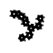 c1ccc(-c2cccc(-c3nc(-c4cccc(-c5ccccc5)c4)nc(-c4ccc5c(c4)oc4cc6oc7ccccc7c6cc45)n3)c2)cc1